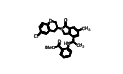 COC(=O)c1ccccc1NC(C)c1cc(C)cc2c1CN(C1COc3ccc(Cl)cc3C1)C2=O